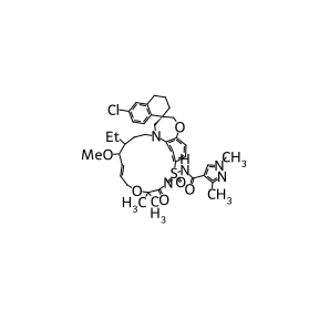 CCC1CCN2C[C@@]3(CCCc4cc(Cl)ccc43)COc3ccc(cc32)S(=O)(NC(=O)c2cn(C)nc2C)=NC(=O)C(C)(C)OC/C=C/C1OC